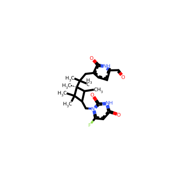 CC1C(Cn2c(F)cc(=O)[nH]c2=O)C(C)(C)[C@@]1(C)C(C)(C)Cc1ccc(C=O)[nH]c1=O